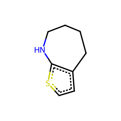 c1cc2c(s1)NCCCC2